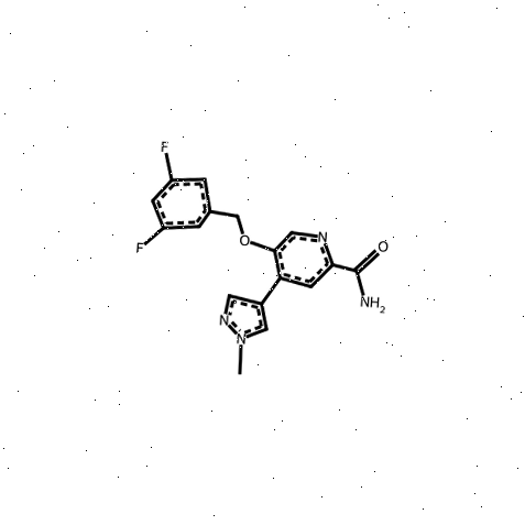 Cn1cc(-c2cc(C(N)=O)ncc2OCc2cc(F)cc(F)c2)cn1